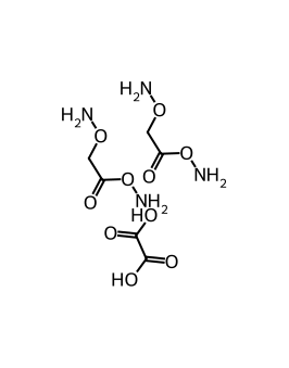 NOCC(=O)ON.NOCC(=O)ON.O=C(O)C(=O)O